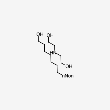 CCCCCCCCCCCCCCCCO.OCCNCCO